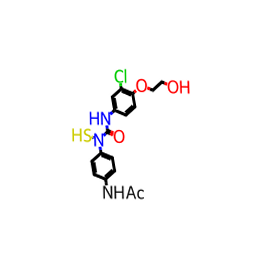 CC(=O)Nc1ccc(N(S)C(=O)Nc2ccc(OCCO)c(Cl)c2)cc1